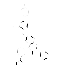 C=CC(=O)N1CCC[C@@H](n2c(=O)c(-c3ccccc3)nc3cnc(Nc4ccc(N5CCNCC5)cc4OC)nc32)C1